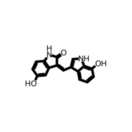 O=C1Nc2ccc(O)cc2C1=Cc1c[nH]c2c(O)cccc12